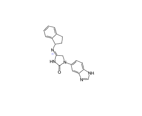 O=C1N/C(=N/C2CCc3ccccc32)CN1c1ccc2[nH]cnc2c1